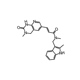 Cc1[nH]c2ccccc2c1CN(C)C(=O)C=Cc1cnc2c(c1)CN(C)C(=O)N2